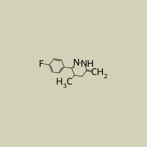 C=C1CC(C)C(c2ccc(F)cc2)=NN1